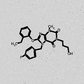 CCc1ccccc1Oc1nc2c(c(=O)n(CCCO)c(=O)n2C)n1Cc1ccc(F)cc1